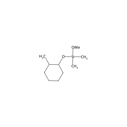 CO[Si](C)(C)OC1CCCCC1C